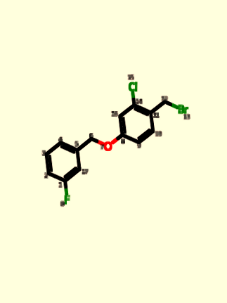 Fc1cccc(COc2ccc(CBr)c(Cl)c2)c1